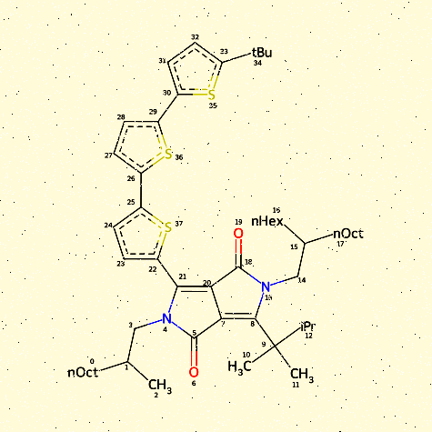 CCCCCCCCC(C)CN1C(=O)C2=C(C(C)(C)C(C)C)N(CC(CCCCCC)CCCCCCCC)C(=O)C2=C1c1ccc(-c2ccc(-c3ccc(C(C)(C)C)s3)s2)s1